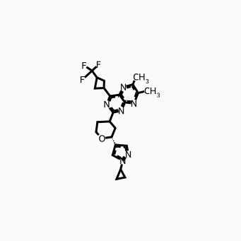 Cc1nc2nc(C3CCO[C@@H](c4cnn(C5CC5)c4)C3)nc(C3CC(C(F)(F)F)C3)c2nc1C